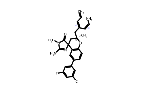 C=C/C=C(\C=C/N)C[C@]1(C)CC2(N=C(N)N(C)C2=O)c2cc(-c3cc(F)cc(Cl)c3)ccc2O1